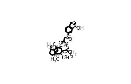 C=C[C@]1(C)C[C@@H](OC(=O)C[S@@+]([O-])c2ccc3c(c2)B(O)OC3)[C@]2(C)[C@H](C)CC[C@]3(CCC(=O)[C@H]32)[C@@H](C)[C@@H]1O